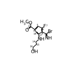 COC(=O)c1cc(F)c(C(=N)Br)c(NCCCO)c1